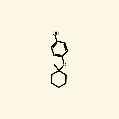 CC1(Oc2ccc(O)cc2)CCCCC1